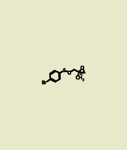 C[C@]1(COSc2ccc(Br)cc2)CO1